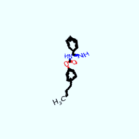 CCCCc1ccc(OC(=O)NC(=N)c2cc[c]cc2)cc1